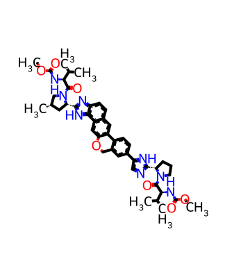 COC(=O)N[C@H](C(=O)N1CCC[C@H]1c1ncc(-c2ccc3c(c2)COc2cc4c(ccc5nc([C@@H]6C[C@H](C)CN6C(=O)[C@@H](NC(=O)OC)C(C)C)[nH]c54)cc2-3)[nH]1)C(C)C